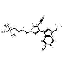 CCn1cc(-c2cn(COCCS(C)(C)C)nc2C#N)c2cc(Br)ncc21